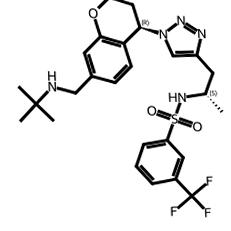 C[C@@H](Cc1cn([C@@H]2CCOc3cc(CNC(C)(C)C)ccc32)nn1)NS(=O)(=O)c1cccc(C(F)(F)F)c1